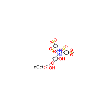 CCCCCCCCOCC(O)COc1ccc(-c2nc(-c3ccc(S(C)(=O)=O)cc3S(C)(=O)=O)nc(-c3ccc(S(C)(=O)=O)cc3S(C)(=O)=O)n2)c(O)c1